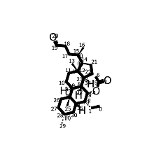 CC[C@H]1[C@@H](OC(C)=O)[C@@H]2[C@H](CC[C@]3(C)[C@@H]([C@H](C)CCC=O)CC[C@@H]23)[C@@]2(C)CC[C@@H](C)C[C@@H]12